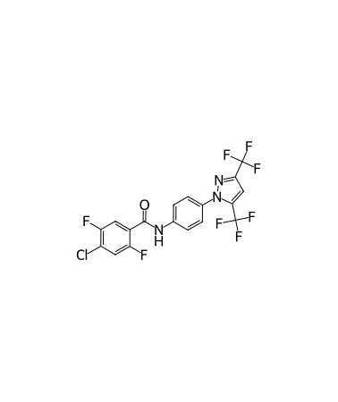 O=C(Nc1ccc(-n2nc(C(F)(F)F)cc2C(F)(F)F)cc1)c1cc(F)c(Cl)cc1F